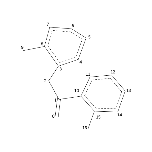 C=C(Cc1ccccc1C)c1ccccc1C